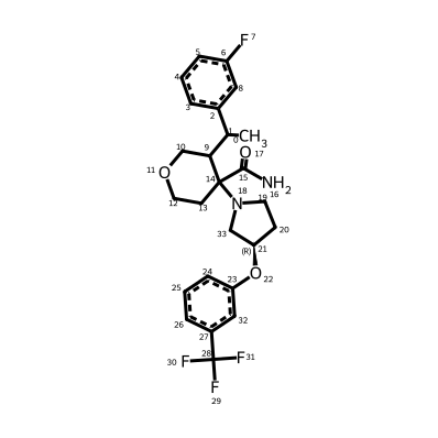 CC(c1cccc(F)c1)C1COCCC1(C(N)=O)N1CC[C@@H](Oc2cccc(C(F)(F)F)c2)C1